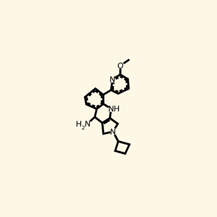 COc1cccc(-c2cccc3c2NC2=C(CN(C4CCC4)C2)C3N)n1